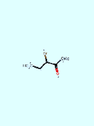 COC(=O)C(Br)CC(=O)O